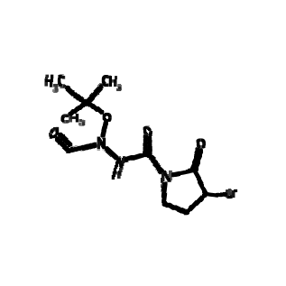 CC(C)(C)ON(C=O)NC(=O)N1CCC(Br)C1=O